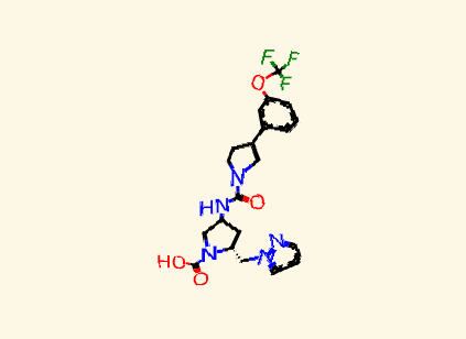 O=C(NC1C[C@H](Cn2cccn2)N(C(=O)O)C1)N1CCC(c2cccc(OC(F)(F)F)c2)C1